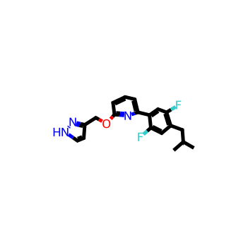 C[C](C)Cc1cc(F)c(-c2cccc(OCc3cc[nH]n3)n2)cc1F